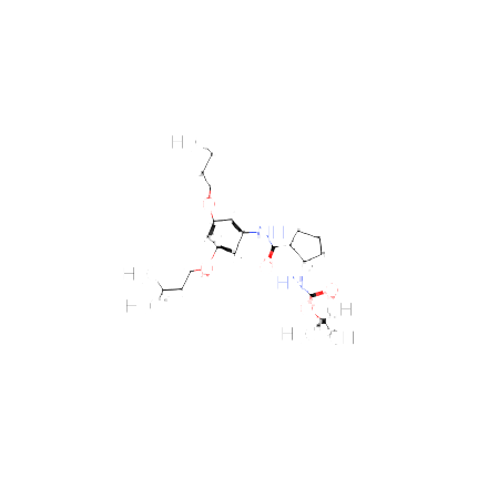 CCCCOc1cc(NC(=O)[C@H]2CCC[C@@H]2NC(=O)OC(C)(C)C)cc(OCCC(C)C)c1